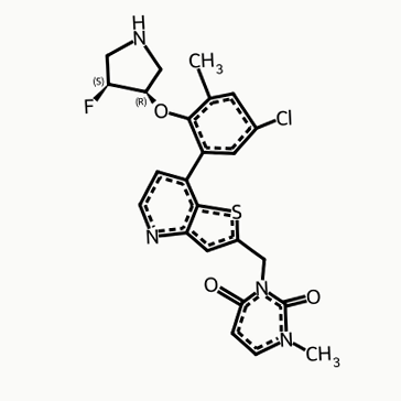 Cc1cc(Cl)cc(-c2ccnc3cc(Cn4c(=O)ccn(C)c4=O)sc23)c1O[C@@H]1CNC[C@@H]1F